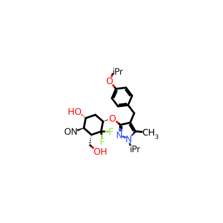 Cc1c(Cc2ccc(OC(C)C)cc2)c(O[C@H]2C[C@@H](O)[C@H](N=O)[C@@H](CO)C2(F)F)nn1C(C)C